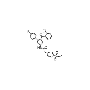 CCS(=O)(=O)c1ccc(CC(=O)Nc2cc(-c3ccc(F)cc3)c(C(=O)c3ccccc3Cl)s2)cc1